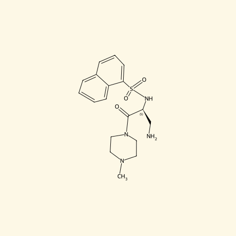 CN1CCN(C(=O)[C@H](CN)NS(=O)(=O)c2cccc3ccccc23)CC1